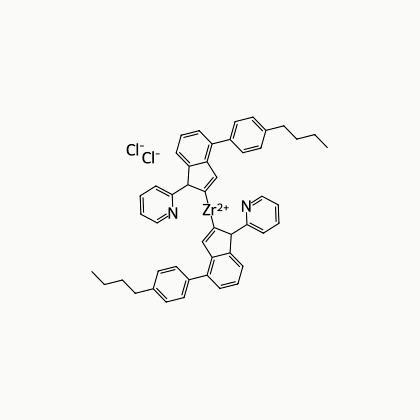 CCCCc1ccc(-c2cccc3c2C=[C]([Zr+2][C]2=Cc4c(-c5ccc(CCCC)cc5)cccc4C2c2ccccn2)C3c2ccccn2)cc1.[Cl-].[Cl-]